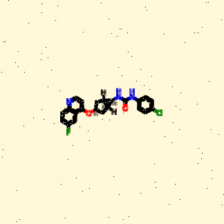 O=C(Nc1ccc(Cl)cc1)N[C@H]1[C@@H]2C[C@@H](Oc3ccnc4ccc(F)cc34)C[C@@H]21